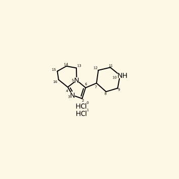 Cl.Cl.c1nc2n(c1C1CCNCC1)CCCC2